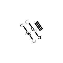 [C]#C.[Cl][Mg][Cl].[Cl][Mg][Cl]